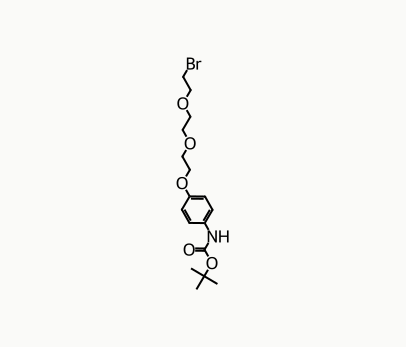 CC(C)(C)OC(=O)Nc1ccc(OCCOCCOCCBr)cc1